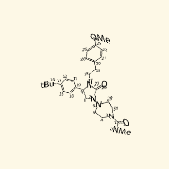 CNC(=O)N1CCN(N2CC(c3ccc(C(C)(C)C)cc3)N(CCc3ccc(OC)cc3)C2=O)CC1